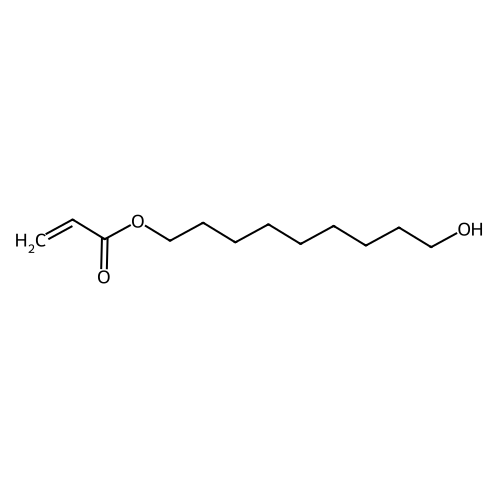 C=CC(=O)OCCCCCCCCCO